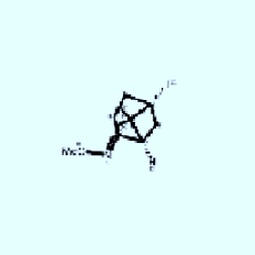 CON=C1CC[C@H]2C[C@@H]1C2(C)C